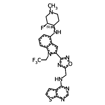 CN1CC[C@@H](Nc2cccc3c2cc(-c2noc(CNc4ncnc5sccc45)n2)n3CC(F)(F)F)[C@@H](F)C1